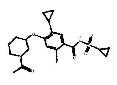 CC(=O)N1CCCC(Oc2cc(F)c(C(=O)NS(=O)(=O)C3CC3)cc2C2CC2)C1